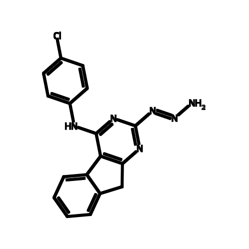 NN=Nc1nc2c(c(Nc3ccc(Cl)cc3)n1)-c1ccccc1C2